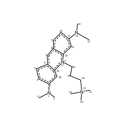 CN(C)c1ccc2cc3ccc(N(C)C)cc3[n+](CCC[N+](C)(C)C)c2c1